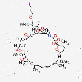 CO[C@H]1C[C@@H]2CC[C@@H](C)[C@@](O)(O2)C(=O)C(=O)N2CCCC3[C@H]2C(=O)O[C@@H](CC(=O)[C@H](C)/C=C(\C)[C@@H](O)[C@@H](OC)C(=O)[C@H](C)C[C@H](C)/C=C/C=C/C=C/1C)[C@H]3C[C@@H]1CC[C@@H](OCCCI)[C@H](OC)C1